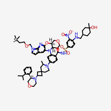 CC(C)c1ccccc1[C@@H]1COCCN1C1CC2(CCN(c3ccc(C(=O)NS(=O)(=O)c4ccc(NCC5CCC(C)(O)CC5)c([N+](=O)[O-])c4)c(N4c5cc6ccn(COCC[Si](C)(C)C)c6nc5O[C@H]5COCC[C@@H]54)c3)C(C)C2)C1